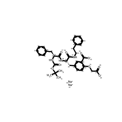 CC(C)(C)OC(=O)N[C@@H](Cc1ccccc1)C(=O)N[C@@H](Cc1ccc(OCC(=O)[O-])c(C(=O)[O-])c1)C(=O)NCCc1ccccc1.[Na+].[Na+]